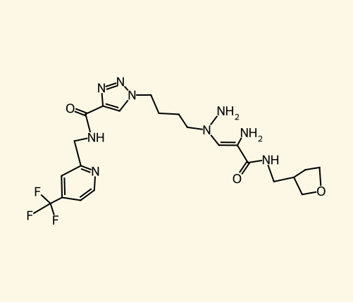 N/C(=C\N(N)CCCCn1cc(C(=O)NCc2cc(C(F)(F)F)ccn2)nn1)C(=O)NCC1CCOC1